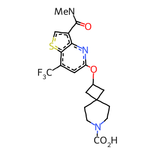 CNC(=O)c1csc2c(C(F)(F)F)cc(OC3CC4(CCN(C(=O)O)CC4)C3)nc12